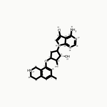 Cc1cc2c(c(OC3CC(n4cc(Cl)c5c(N)ncnc54)[C@H](O)C3I)c1)CNCC2